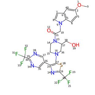 COc1ccc2c(ccn2CC(=O)N2CCN(c3sc(C(F)(F)F)nc3-c3cnc(C(F)(F)F)nc3)CC2CO)c1